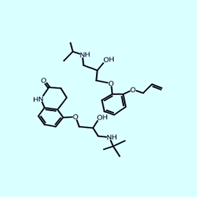 C=CCOc1ccccc1OCC(O)CNC(C)C.CC(C)(C)NCC(O)COc1cccc2c1CCC(=O)N2